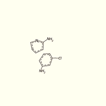 Nc1cccc(Cl)c1.Nc1ccccn1